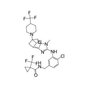 Cn1c(Nc2cc(CNC(=O)C3(C(F)(F)F)CC3)ccc2Cl)nc2c1=CC1(N3CCC(C(F)(F)F)CC3)CC=2C1Cl